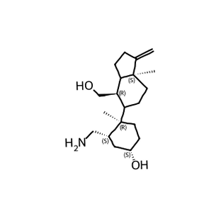 C=C1CCC2[C@H](CO)C([C@@]3(C)CC[C@H](O)C[C@@H]3CN)CC[C@]12C